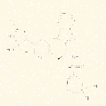 CC1(Cl)C=CC=C(S(=O)(=O)N[C@@H](Cc2ccc(C3CC(=O)NS3(O)O)cc2)c2nc3ccc(F)cc3[nH]2)C1